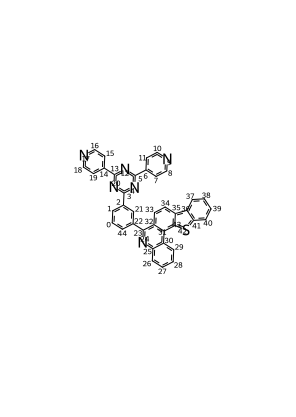 c1cc(-c2nc(-c3ccncc3)nc(-c3ccncc3)n2)cc(-c2nc3ccccc3c3c2ccc2c4ccccc4sc23)c1